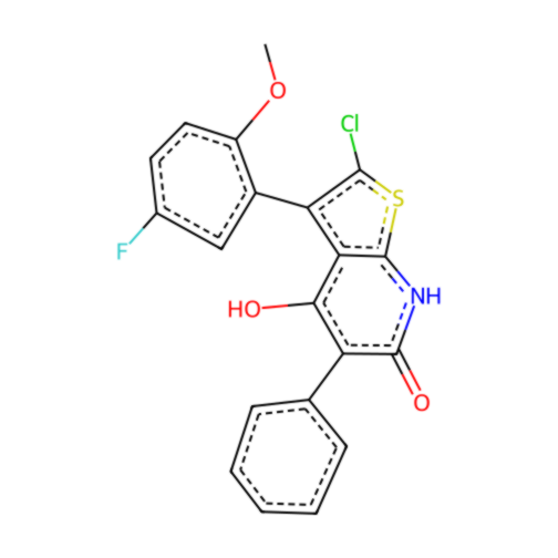 COc1ccc(F)cc1-c1c(Cl)sc2[nH]c(=O)c(-c3ccccc3)c(O)c12